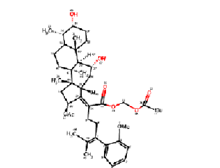 COc1ccccc1C(CCC(C(=O)OCOC(=O)C(C)(C)C)=C1[C@@H](OC(C)=O)C[C@@]2(C)[C@@H]1C[C@@H](O)[C@@H]1[C@@]3(C)CC[C@@H](O)[C@@H](C)C3CC[C@@]12C)=C(C)C